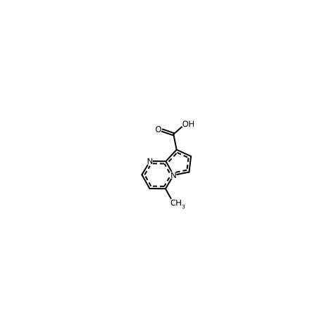 Cc1ccnc2c(C(=O)O)ccn12